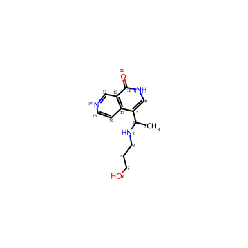 CC(NCCCO)c1c[nH]c(=O)c2cnccc12